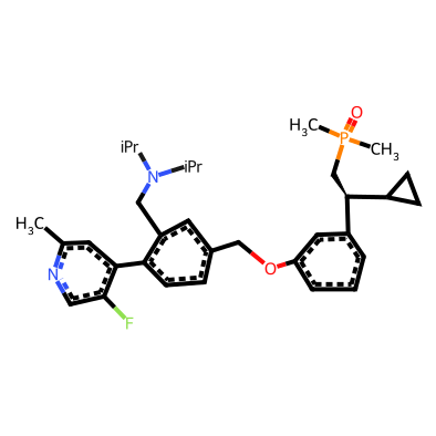 Cc1cc(-c2ccc(COc3cccc([C@@H](CP(C)(C)=O)C4CC4)c3)cc2CN(C(C)C)C(C)C)c(F)cn1